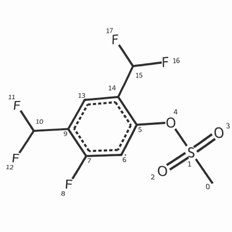 CS(=O)(=O)Oc1[c]c(F)c(C(F)F)cc1C(F)F